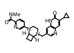 CNC(=O)c1ccc(N2CCN(Cc3cnc4cc(C5CC5)c(=O)[nH]c4c3)[C@@H]3CC[C@H]32)cn1